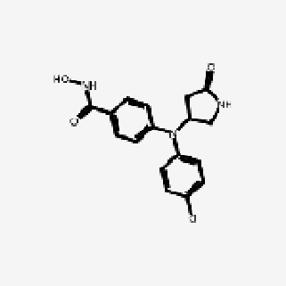 O=C1CC(N(c2ccc(Cl)cc2)c2ccc(C(=O)NO)cc2)CN1